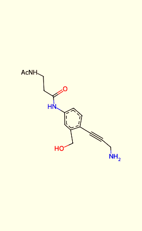 CC(=O)NCCC(=O)Nc1ccc(C#CCN)c(CO)c1